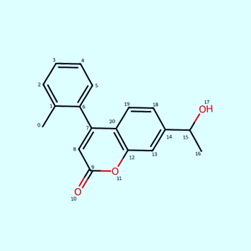 Cc1ccccc1-c1cc(=O)oc2cc(C(C)O)ccc12